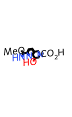 COC(=N)c1ccc2c(n1)C(O)CN(C(=O)O)C2